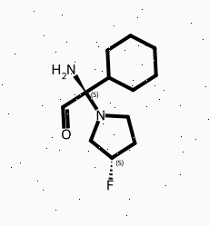 N[C@@](C=O)(C1CCCCC1)N1CC[C@H](F)C1